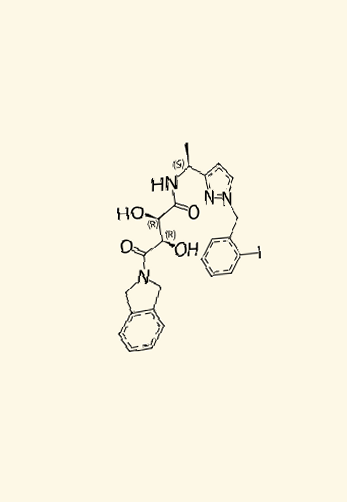 C[C@H](NC(=O)[C@H](O)[C@@H](O)C(=O)N1Cc2ccccc2C1)c1ccn(Cc2ccccc2I)n1